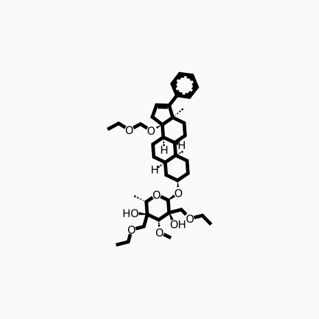 CCOCO[C@]12CC=C(c3ccccc3)[C@@]1(C)CC[C@H]1[C@H]2CC[C@@H]2C[C@@H](O[C@@H]3O[C@@H](C)[C@@](O)(COCC)[C@@H](OC)[C@@]3(O)COCC)CC[C@@]21C